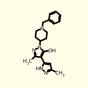 Cc1cc(-c2c(C)nn(C3CCN(Cc4ccccc4)CC3)c2O)[nH]n1